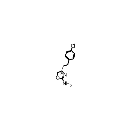 NC1=N[C@@H](CCc2ccc(Cl)cc2)CO1